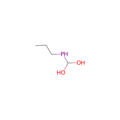 CCCPC(O)O